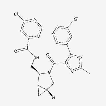 Cc1nc(C(=O)N2C[C@@H]3CC3[C@H]2CNC(=O)c2cccc(Cl)c2)c(-c2cccc(Cl)c2)s1